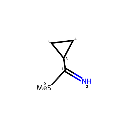 CSC(=N)C1CC1